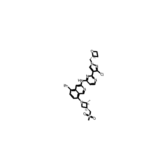 CC(C)c1ccc(N2C[C@H](CS(C)(=O)=O)[C@H]2C)c2cnc(Nc3ccnc(-c4cn(C[C@H]5CCO5)nc4Cl)n3)cc12